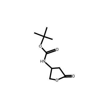 CC(C)(C)OC(=O)NC1COC(=O)C1